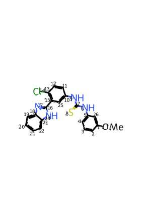 COc1cccc(NC(=S)Nc2ccc(Cl)c(-c3nc4ccccc4[nH]3)c2)c1